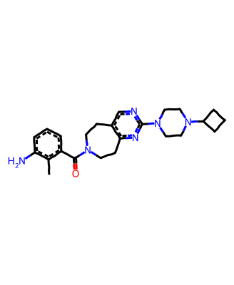 Cc1c(N)cccc1C(=O)N1CCc2cnc(N3CCN(C4CCC4)CC3)nc2CC1